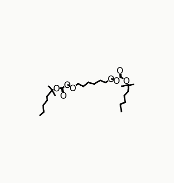 CCCCCC(C)(C)OC(=O)OOCCCCCCOOC(=O)OC(C)(C)CCCCC